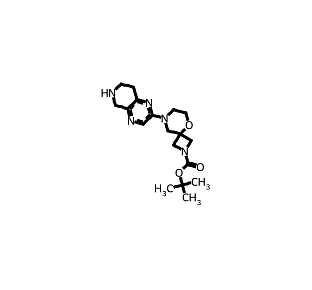 CC(C)(C)OC(=O)N1CC2(C1)CN(c1cnc3c(n1)CCNC3)CCO2